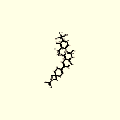 CC(=O)N1CC2(CC=C(c3cnc4nc(C)nc(N[C@H](C)c5cccc(C(F)(F)F)c5C)c4c3)CC2)C1